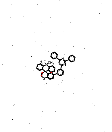 CC1(C)c2ccccc2C2(c3ccccc3Sc3ccc(-c4cccc(-c5nc(-c6ccccc6)nc(-c6ccccc6)n5)c4)cc32)c2ccccc21